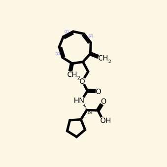 C=C1\C=C/C=C\C=C/C(=C)C1COC(=O)N[C@H](C(=O)O)C1CCCC1